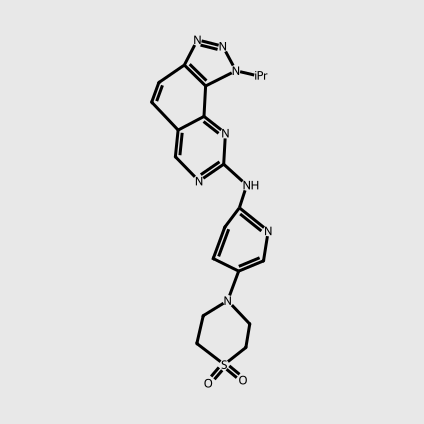 CC(C)n1nnc2ccc3cnc(Nc4ccc(N5CCS(=O)(=O)CC5)cn4)nc3c21